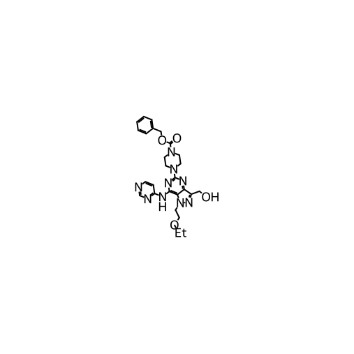 CCOCCn1nc(CO)c2nc(N3CCN(C(=O)OCc4ccccc4)CC3)nc(Nc3ccncn3)c21